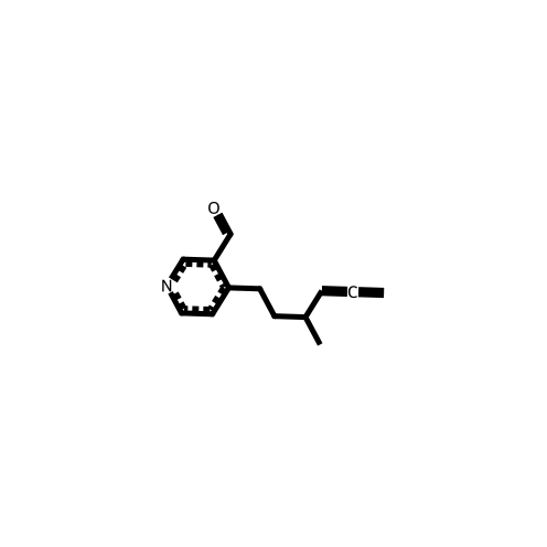 C=C=CC(C)CCc1ccncc1C=O